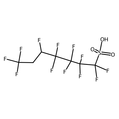 O=S(=O)(O)C(F)(F)C(F)(F)C(F)(F)C(F)(F)C(F)CC(F)(F)F